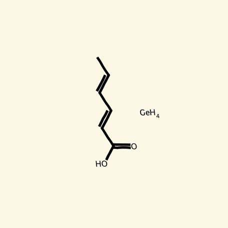 C/C=C/C=C/C(=O)O.[GeH4]